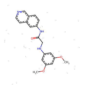 COc1cc(NCC(=O)Nc2ccc3cnccc3c2)cc(OC)c1